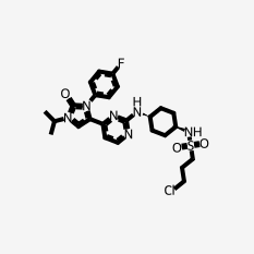 CC(C)n1cc(-c2ccnc(N[C@H]3CC[C@H](NS(=O)(=O)CCCCl)CC3)n2)n(-c2ccc(F)cc2)c1=O